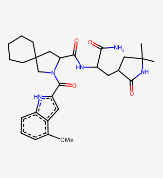 COc1cccc2[nH]c(C(=O)N3CC4(CCCCC4)CC3C(=O)NC(CC3CC(C)(C)NC3=O)C(N)=O)cc12